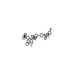 CC(C(=O)Nc1ccc(-c2ccc3nc(Nc4ccc(S(C)(=O)=O)cc4OCC(F)(F)F)nn3c2)cc1)c1ccc(F)cc1